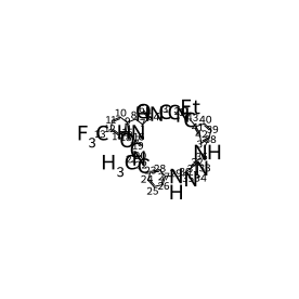 CCN1CCNC(=O)C(Cc2ccc(C(F)(F)F)cc2)NC(=O)CN(C)Cc2cccc(c2)Nc2cc(ncn2)Nc2cccc(c2)C1